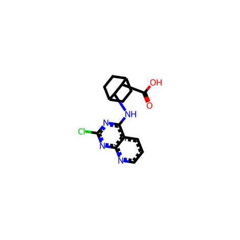 O=C(O)C1C2CCC(CC2)C1Nc1nc(Cl)nc2ncccc12